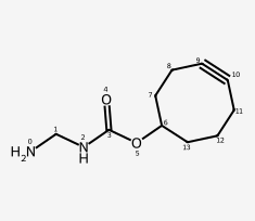 NCNC(=O)OC1CCC#CCCC1